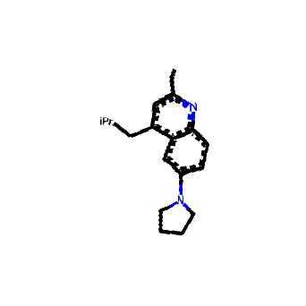 Cc1cc(CC(C)C)c2cc(N3CCCC3)ccc2n1